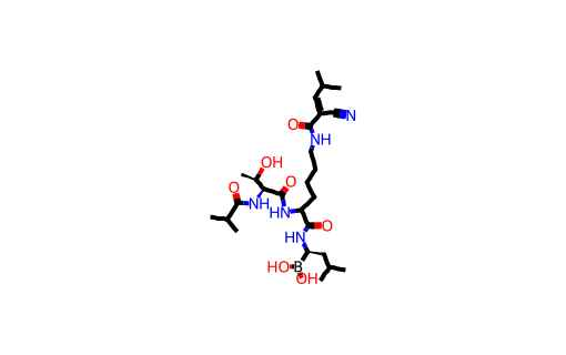 CC(C)C=C(C#N)C(=O)NCCCCC(NC(=O)[C@@H](NC(=O)C(C)C)[C@@H](C)O)C(=O)N[C@@H](CC(C)C)B(O)O